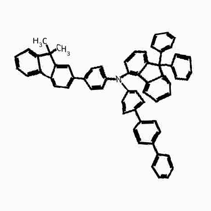 CC1(C)c2ccccc2-c2ccc(-c3ccc(N(c4ccc(-c5ccc(-c6ccccc6)cc5)cc4)c4cccc5c4-c4ccccc4C5(c4ccccc4)c4ccccc4)cc3)cc21